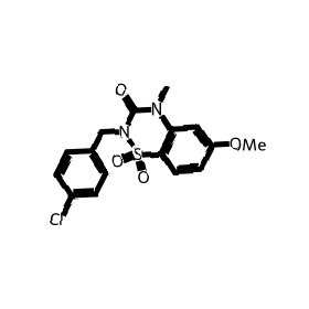 COc1ccc2c(c1)N(C)C(=O)N(Cc1ccc(Cl)cc1)S2(=O)=O